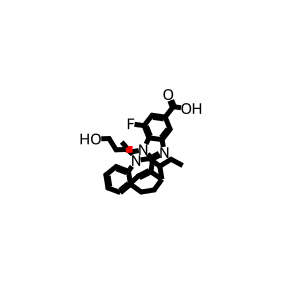 CCC1CN(CCCO)c2cccc3c2CCC1C(c1nc2cc(C(=O)O)cc(F)c2n1CC)=C3